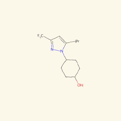 CC(C)c1cc(C(F)(F)F)nn1C1CCC(O)CC1